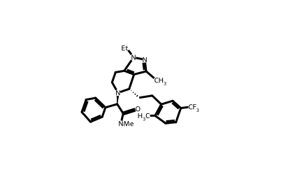 CCn1nc(C)c2c1CCN([C@@H](C(=O)NC)c1ccccc1)[C@H]2CCc1cc(C(F)(F)F)ccc1C